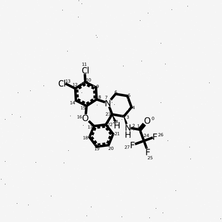 O=C(N[C@@H]1CCCN2c3cc(Cl)c(Cl)cc3Oc3ccccc3[C@@H]12)C(F)(F)F